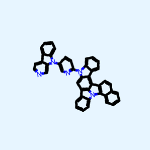 c1ccc2c(c1)ccc1c3c4c5ccccc5n(-c5ccc(-n6c7ccccc7c7ccncc76)cn5)c4cc4c5ccccc5n(c21)c43